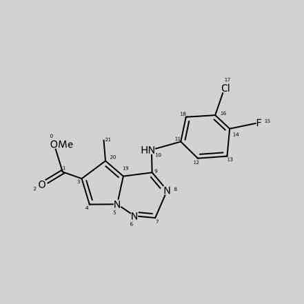 COC(=O)c1cn2ncnc(Nc3ccc(F)c(Cl)c3)c2c1C